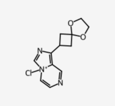 Cl[N+]12C=CN=CC1=C(C1CC3(C1)OCCO3)N=C2